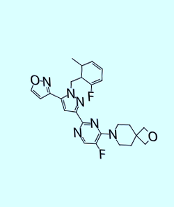 CC1C=CC=C(F)C1Cn1nc(-c2ncc(F)c(N3CCC4(CC3)COC4)n2)cc1-c1ccon1